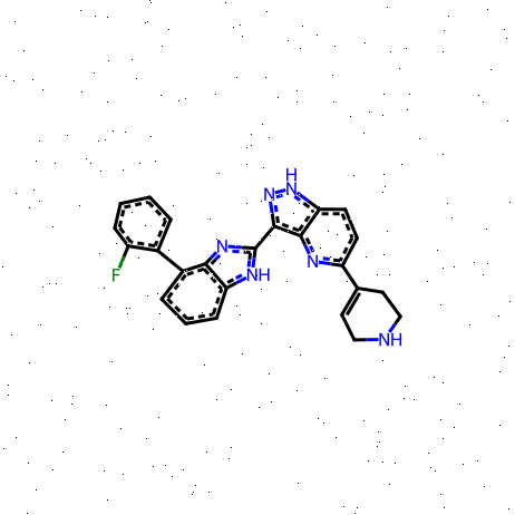 Fc1ccccc1-c1cccc2[nH]c(-c3n[nH]c4ccc(C5=CCNCC5)nc34)nc12